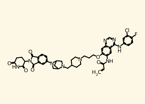 C=CC(=O)Nc1cc2c(Nc3ccc(F)c(Cl)c3)ncnc2cc1OCCCN1CCC(CN2CC3CC2CN3c2ccc3c(c2)C(=O)N(C2CCC(=O)NC2=O)C3=O)CC1